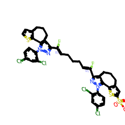 O=S(=O)(O)c1cc2c(s1)-c1c(c(/C(F)=C/CCC/C=C(\F)c3nn(-c4ccc(Cl)cc4Cl)c4c3CCCc3ccsc3-4)nn1-c1ccc(Cl)cc1Cl)CCC2